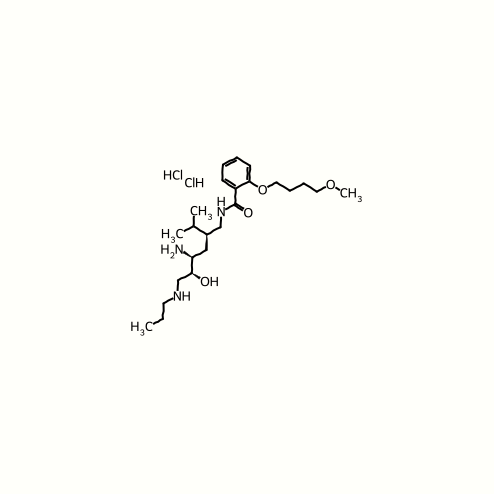 CCCNC[C@H](O)[C@@H](N)C[C@H](CNC(=O)c1ccccc1OCCCCOC)C(C)C.Cl.Cl